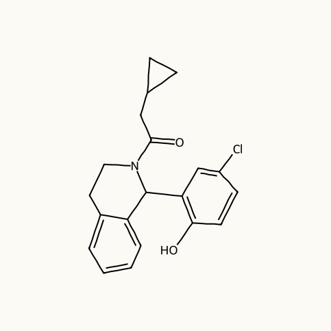 O=C(CC1CC1)N1CCc2ccccc2C1c1cc(Cl)ccc1O